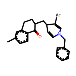 CC(=O)C1=CN(Cc2ccccc2)C=CC1CC1CCc2cc(C)ccc2C1=O